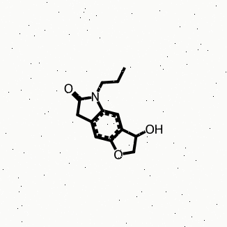 CCCN1C(=O)Cc2cc3c(cc21)C(O)CO3